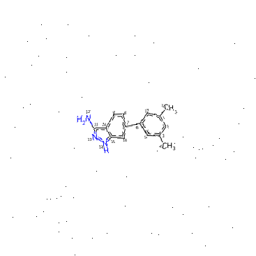 Cc1cc(C)cc(-c2ccc3c(N)n[nH]c3c2)c1